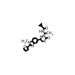 CC(NC(=O)C1CC1)N1N=C(c2ccc3c(c2)nc(-c2ccco2)n3C)CSC1=O